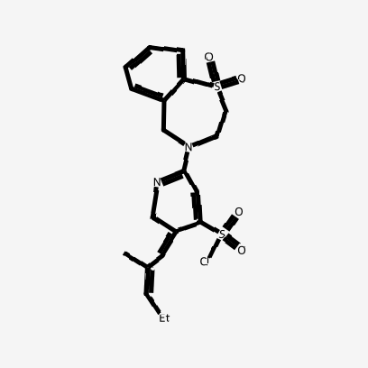 CC/C=C(C)\C=C1/CN=C(N2CCS(=O)(=O)c3ccccc3C2)C=C1S(=O)(=O)Cl